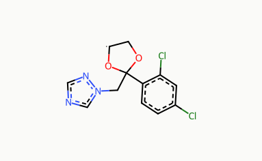 Clc1ccc(C2(Cn3cncn3)O[CH]CO2)c(Cl)c1